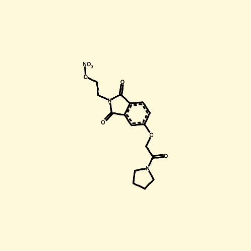 O=C(COc1ccc2c(c1)C(=O)N(CCO[N+](=O)[O-])C2=O)N1CCCC1